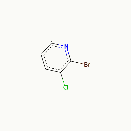 Clc1cc[c]nc1Br